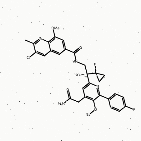 CCOc1c(CC(N)=O)cc([C@@](O)(CNC(=O)c2cc(OC)c3nc(C)c(Cl)cc3c2)C2(F)CC2)nc1-c1ccc(F)cc1